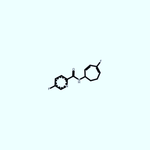 O=C(NC1C=CC(F)=CCC1)c1ccc(F)cn1